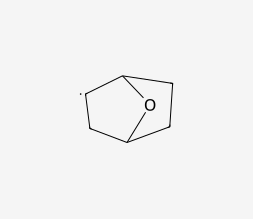 [CH]1CC2CCC1O2